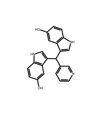 Oc1ccc2[nH]cc(C(c3cccnc3)c3c[nH]c4ccc(O)cc34)c2c1